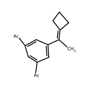 CC(=O)c1cc(C(C)=O)cc(C(C)=C2CCC2)c1